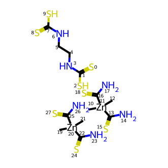 S=C(S)NCCNC(=S)S.[CH3][Zn]([CH3])([C](N)=S)[C](N)=S.[CH3][Zn]([CH3])([C](N)=S)[C](N)=S